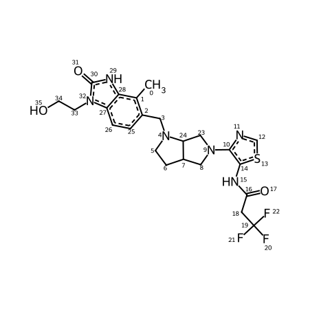 Cc1c(CN2CCC3CN(c4ncsc4NC(=O)CC(F)(F)F)CC32)ccc2c1[nH]c(=O)n2CCO